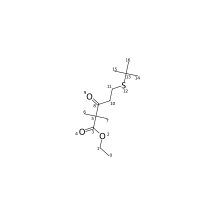 CCOC(=O)C(C)(C)C(=O)CCSC(C)(C)C